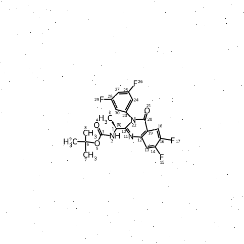 C[C@H](NC(=O)OC(C)(C)C)c1nc2cc(F)c(F)cc2c(=O)n1-c1cc(F)cc(F)c1